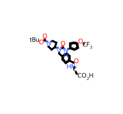 CC(C)(C)OC(=O)N1CCC(N(Cc2ccc(C(=O)NCCC(=O)O)cc2)C(=O)Nc2ccc(OC(F)(F)F)cc2)CC1